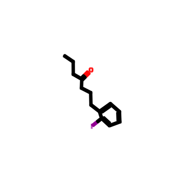 CCCC(=O)CCCc1ccccc1I